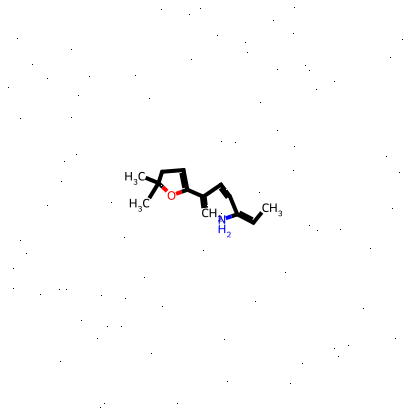 C=C(/C=C\C(N)=C/C)C1=CCC(C)(C)O1